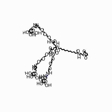 N=N/C(=C\NCCOCCOCCOCCNC(=O)CCC(CCC(=O)NCCOCCOCCOCCn1cc(C[C@@H]2C[C@@H](O)[C@@H](O)[C@@H](CO)O2)nn1)(CCC(=O)NCCOCCOCCOCCn1cc(C[C@@H]2C[C@@H](O)[C@@H](O)[C@@H](CO)O2)nn1)NC(=O)CCCCCCCCCCC(=O)NCCN1C(=O)C=CC1=O)C[C@@H]1C[C@@H](O)[C@@H](O)[C@@H](CO)O1